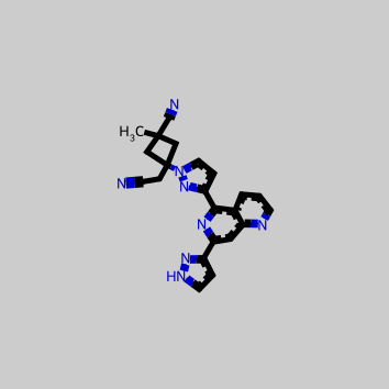 CC1(C#N)CC(CC#N)(n2ccc(-c3nc(-c4cc[nH]n4)cc4ncccc34)n2)C1